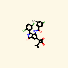 C=C(C)c1c(-c2cc(NC(=O)c3cc(F)cc(C(F)(F)F)c3)c3c(c2)C(=O)N=C3c2cc(F)ccc2Cl)c(=O)c1=O